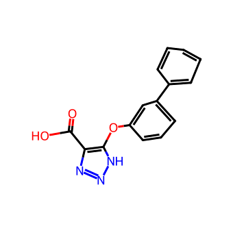 O=C(O)c1nn[nH]c1Oc1cccc(-c2ccccc2)c1